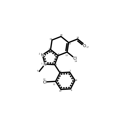 Cn1nc2c(c1-c1ccccc1Cl)C(Cl)=C(C=O)CC2